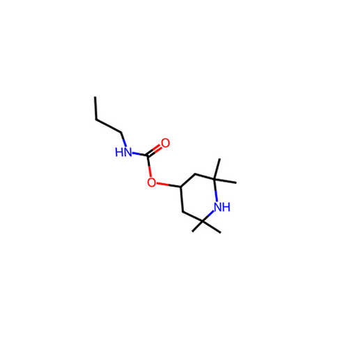 CCCNC(=O)OC1CC(C)(C)NC(C)(C)C1